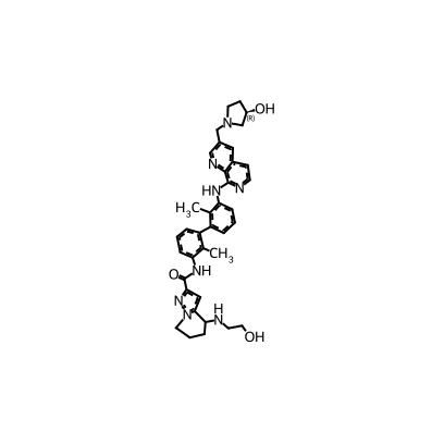 Cc1c(NC(=O)c2cc3n(n2)CCCC3NCCO)cccc1-c1cccc(Nc2nccc3cc(CN4CC[C@@H](O)C4)cnc23)c1C